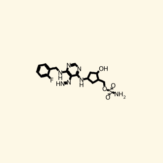 N=Nc1c(NCc2ccccc2F)ncnc1NC1CC(O)C(COS(N)(=O)=O)C1